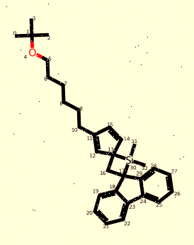 CC(C)(C)OCCCCCCC1=CC2(C=C1)CC1(c3ccccc3-c3ccccc31)[Si]2(C)C